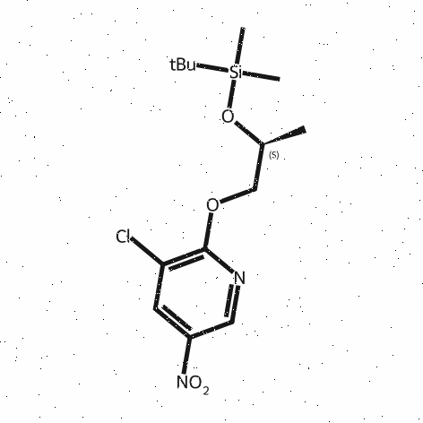 C[C@@H](COc1ncc([N+](=O)[O-])cc1Cl)O[Si](C)(C)C(C)(C)C